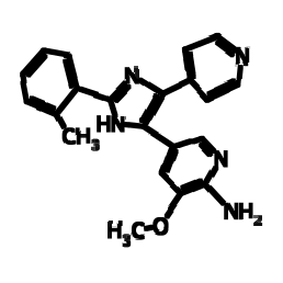 COc1cc(-c2[nH]c(-c3ccccc3C)nc2-c2ccncc2)cnc1N